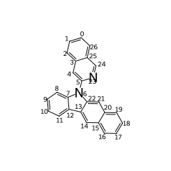 c1ccc2cc(-n3c4ccccc4c4cc5ccccc5cc43)ncc2c1